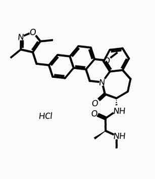 CN[C@@H](C)C(=O)N[C@H]1CCc2ccccc2N(Cc2c(OC)ccc3cc(Cc4c(C)noc4C)ccc23)C1=O.Cl